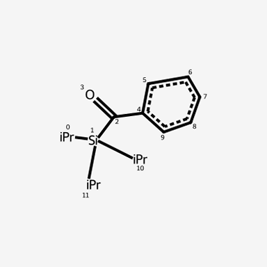 CC(C)[Si](C(=O)c1ccccc1)(C(C)C)C(C)C